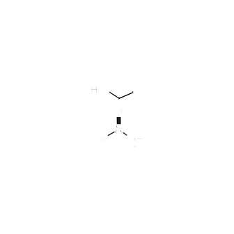 CCP.O=[N+]([O-])O